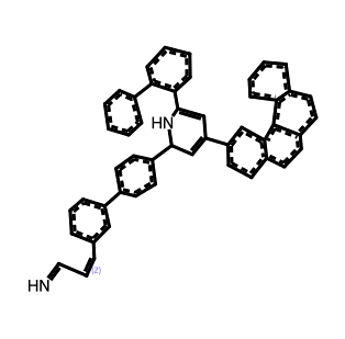 N=C/C=C\c1cccc(-c2ccc(C3C=C(c4ccc5ccc6ccc7ccccc7c6c5c4)C=C(c4ccccc4-c4ccccc4)N3)cc2)c1